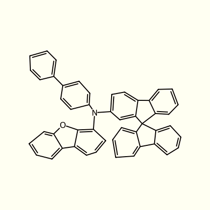 c1ccc(-c2ccc(N(c3ccc4c(c3)C3(c5ccccc5-c5ccccc53)c3ccccc3-4)c3cccc4c3oc3ccccc34)cc2)cc1